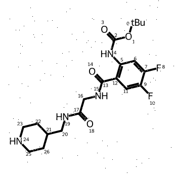 CC(C)(C)OC(=O)Nc1cc(F)c(F)cc1C(=O)NCC(=O)NCC1CCNCC1